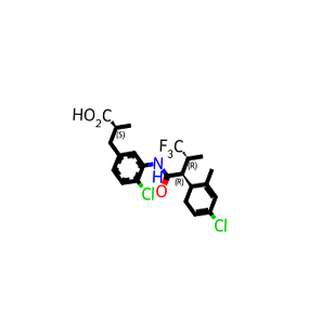 CC1=CC(Cl)=CCC1[C@@H](C(=O)Nc1cc(C[C@H](C)C(=O)O)ccc1Cl)[C@@H](C)C(F)(F)F